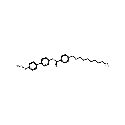 CCCCCCCCCCOc1ccc(-c2ccc(OC(=O)c3ccc(COCCCCCCCC(F)(F)F)cc3)cc2)cc1